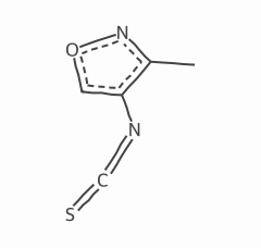 Cc1nocc1N=C=S